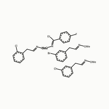 CCC(=NOC)c1ccc(F)cc1.CON=CCc1cccc(Br)c1.CON=CCc1cccc(Cl)c1.CON=CCc1ccccc1Cl